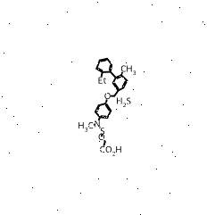 CCc1ccccc1-c1cc(COc2ccc(N(C)SOCC(=O)O)cc2)ccc1C.S